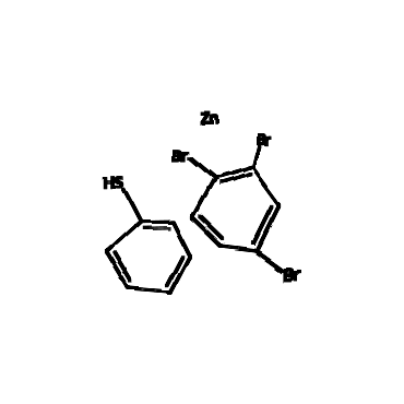 Brc1ccc(Br)c(Br)c1.Sc1ccccc1.[Zn]